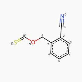 N#Cc1ccccc1COC=S